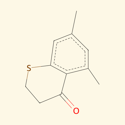 Cc1cc(C)c2c(c1)SCCC2=O